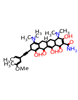 C/C=C(C#CC1CC(N(C)C)=C2C[C@H]3CC4C(C(=O)C(C(N)=O)=C(O)C4N(C)C)C(O)=C3C(=O)C2=C1O)\C=C(/C)OC